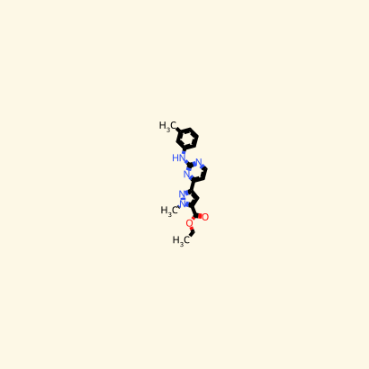 CCOC(=O)c1cc(-c2ccnc(Nc3cccc(C)c3)n2)nn1C